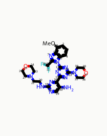 COc1cccc2c1nc(C(F)F)n2-c1nc(-c2nc(NCCN3CCOCC3)ncc2N)nc(N2CCOCC2)n1